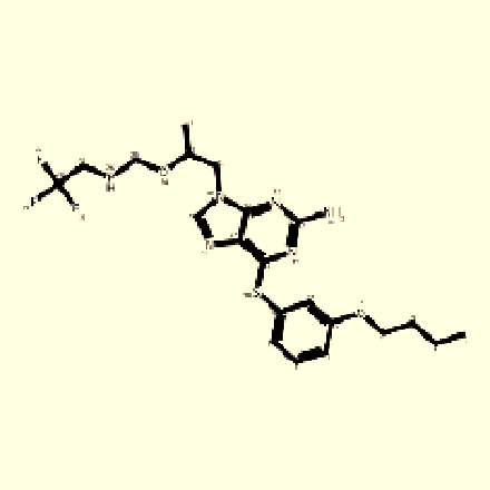 CCCCOc1cccc(Sc2nc(N)nc3c2ncn3CC(C)OCPCC(F)(F)F)c1